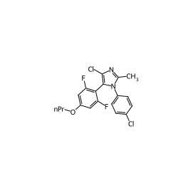 CCCOc1cc(F)c(-c2c(Cl)nc(C)n2-c2ccc(Cl)cc2)c(F)c1